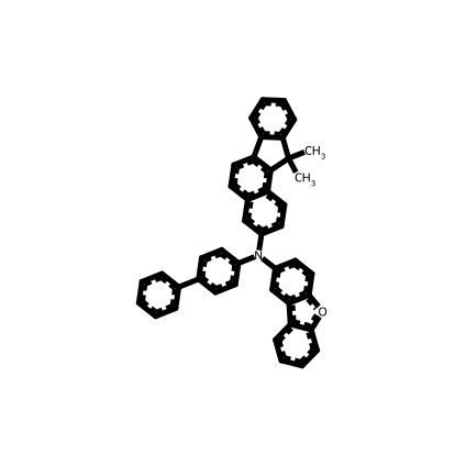 CC1(C)c2ccccc2-c2ccc3cc(N(c4ccc(-c5ccccc5)cc4)c4ccc5oc6ccccc6c5c4)ccc3c21